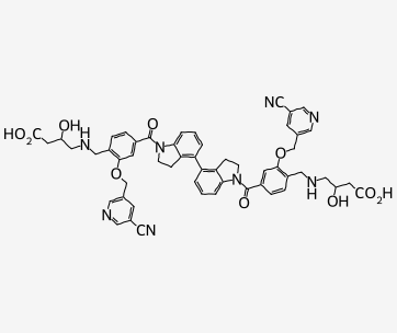 N#Cc1cncc(COc2cc(C(=O)N3CCc4c(-c5cccc6c5CCN6C(=O)c5ccc(CNCC(O)CC(=O)O)c(OCc6cncc(C#N)c6)c5)cccc43)ccc2CNCC(O)CC(=O)O)c1